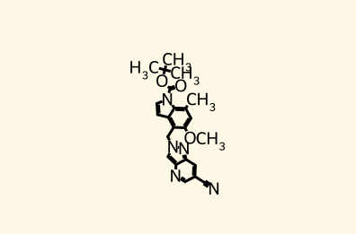 COc1cc(C)c2c(ccn2C(=O)OC(C)(C)C)c1Cn1cc2ncc(C#N)cc2n1